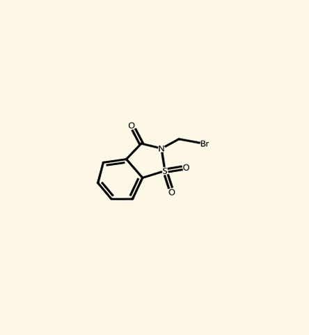 O=C1c2ccccc2S(=O)(=O)N1CBr